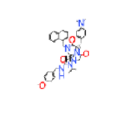 COC1C=CC(CNC(=O)N(C(C)C)N2CC(=O)N3[C@@H](Cc4ccc(N(C)C)cc4)C(=O)N(Cc4cccc5ccccc45)C[C@@H]32)=CC1